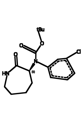 CC(C)(C)OC(=O)N(c1cccc(Cl)c1)[C@H]1CCCCNC1=O